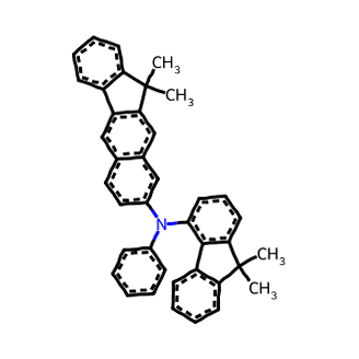 CC1(C)c2ccccc2-c2cc3ccc(N(c4ccccc4)c4cccc5c4-c4ccccc4C5(C)C)cc3cc21